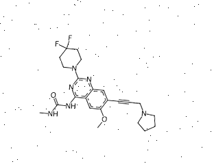 CNC(=O)Nc1nc(N2CCC(F)(F)CC2)nc2cc(C#CCN3CCCC3)c(OC)cc12